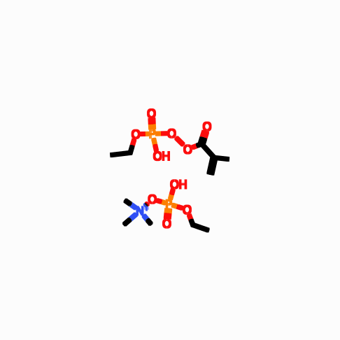 C=C(C)C(=O)OOP(=O)(O)OCC.CCOP(=O)(O)O[N+](C)(C)C